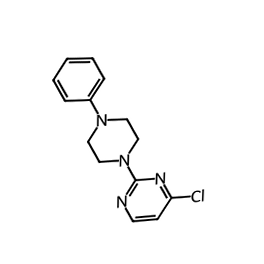 Clc1ccnc(N2CCN(c3ccccc3)CC2)n1